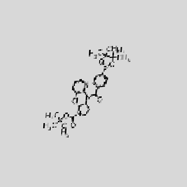 CC(C)(C)OC(=O)N1CCC(N(C(=O)c2ccc(B3OC(C)(C)C(C)(C)O3)cc2)c2ncccc2Cl)C1